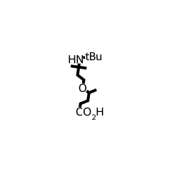 CC(CCC(=O)O)OCCC(C)(C)NC(C)(C)C